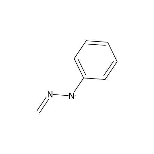 C=N[N]c1ccccc1